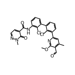 COc1nc(-c2cccc(-c3cccc(NC(=O)c4ccnn(C)c4=O)c3Cl)c2Cl)cc(C)c1C=O